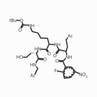 CC(=O)CCC(NC(=O)c1cc([N+](=O)[O-])ccc1F)C(=O)NC(CCCCNC(=O)OC(C)(C)C)C(=O)N[C@@H](CCO)C(=O)NCC(C)=O